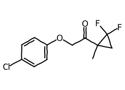 CC1(C(=O)COc2ccc(Cl)cc2)CC1(F)F